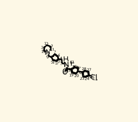 O=C(NCCc1ccc(CN2CCCCC2)cc1)c1ccc(-c2ccc(Cl)cc2)cc1F